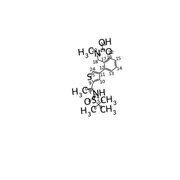 C[C@H](N[S+]([O-])C(C)(C)C)c1cc(-c2ccccc2CN(C)C(=O)O)cs1